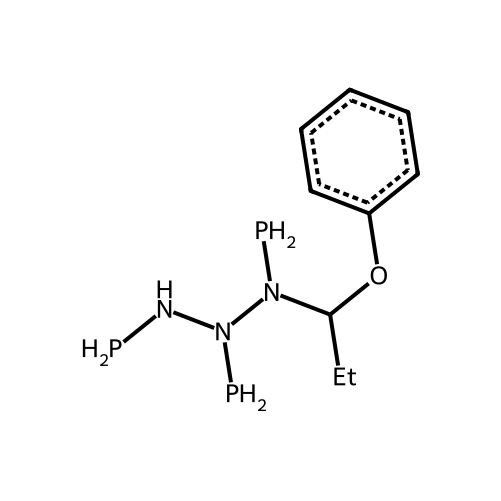 CCC(Oc1ccccc1)N(P)N(P)NP